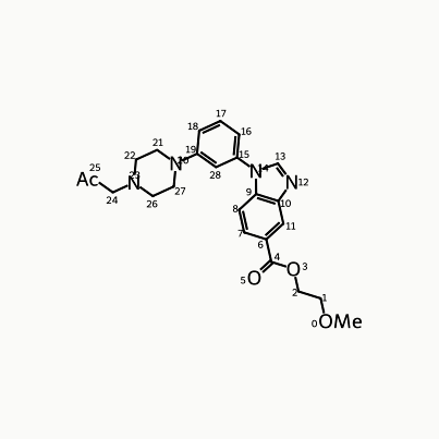 COCCOC(=O)c1ccc2c(c1)ncn2-c1cccc(N2CCN(CC(C)=O)CC2)c1